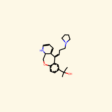 CC(C)(O)c1ccc2c(c1)/C(=C/CCN1CCCC1)C1=CC=CNC1CO2